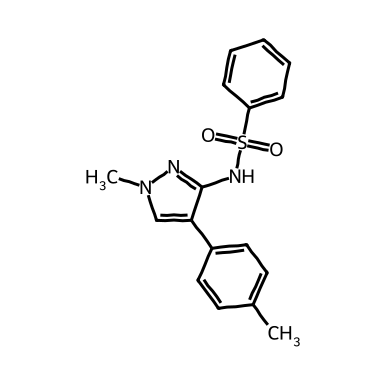 Cc1ccc(-c2cn(C)nc2NS(=O)(=O)c2ccccc2)cc1